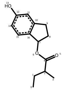 CCC(C)C(=O)OC1CCc2cc(O)ccc21